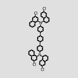 Clc1ccc2c(N(c3ccc(-c4ccc(-c5ccc(N(c6cccc7cc(Cl)ccc67)c6cc(Cl)cc7ccccc67)cc5)cc4)cc3)c3cc(Cl)cc4ccccc34)cccc2c1